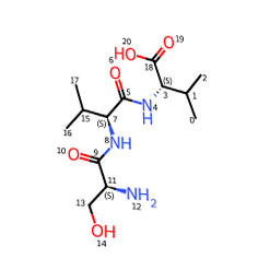 CC(C)[C@H](NC(=O)[C@@H](NC(=O)[C@@H](N)CO)C(C)C)C(=O)O